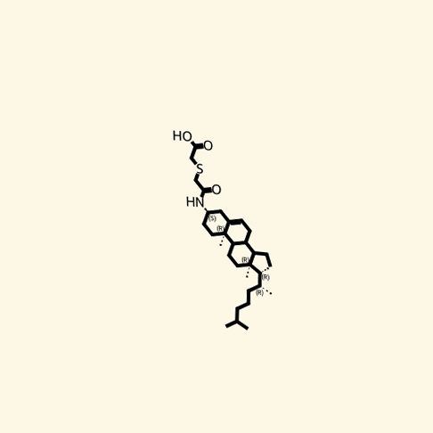 CC(C)CCC[C@@H](C)[C@H]1CCC2C3CC=C4C[C@@H](NC(=O)CSCC(=O)O)CC[C@]4(C)C3CC[C@@]21C